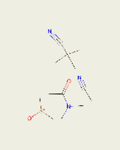 CC#N.CC(=O)N(C)C.CC(C)(C)C#N.C[S+](C)[O-]